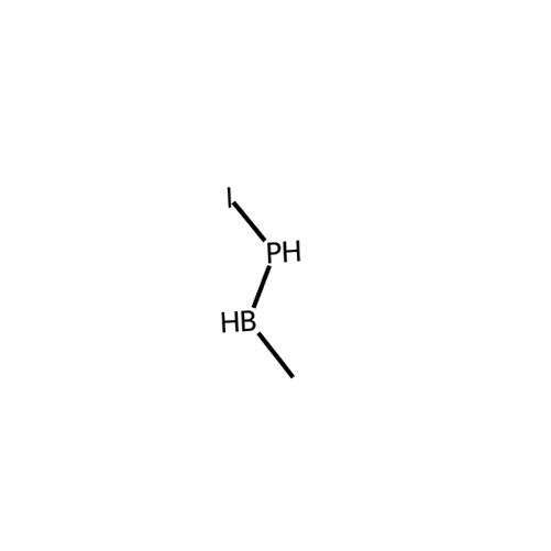 CBPI